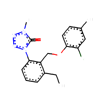 CCc1cccc(-n2nnn(C)c2=O)c1COc1ccc(C)cc1Br